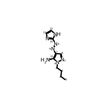 CCCCn1ncc(N=Nc2ncc[nH]2)c1N